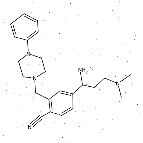 CN(C)CCC(N)c1ccc(C#N)c(CN2CCN(c3ccccc3)CC2)c1